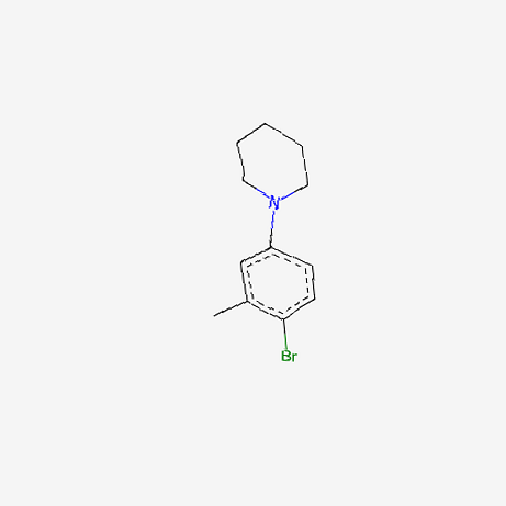 Cc1cc(N2CCCCC2)ccc1Br